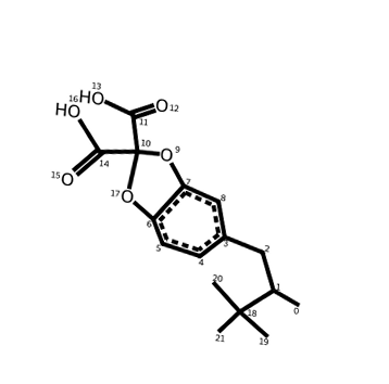 CC(Cc1ccc2c(c1)OC(C(=O)O)(C(=O)O)O2)C(C)(C)C